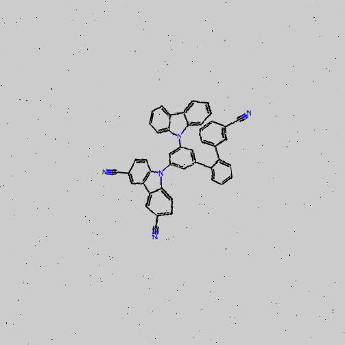 N#Cc1cccc(-c2ccccc2-c2cc(-n3c4ccccc4c4ccccc43)cc(-n3c4ccc(C#N)cc4c4cc(C#N)ccc43)c2)c1